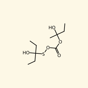 CCC(C)(O)OC(=O)OSC(O)(CC)CC